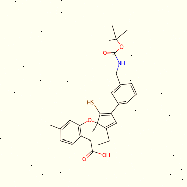 CCC1=CC(c2cccc(CNC(=O)OC(C)(C)C)c2)=C(S)C1(C)Oc1cc(C)ccc1CC(=O)O